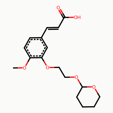 COc1ccc(/C=C/C(=O)O)cc1OCCOC1CCCCO1